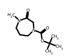 CN1CCCN(C(=O)OC(C)(C)C)CC1=O